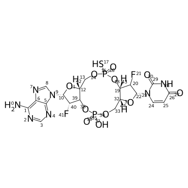 Nc1ncnc2c1ncn2[C@@H]1O[C@@H]2COP(=O)(S)O[C@@H]3C(F)[C@H](n4ccc(=O)[nH]c4=O)O[C@@H]3COP(=O)(O)OC2[C@@H]1F